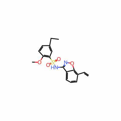 C=Cc1cccc2c(NS(=O)(=O)c3cc(CC)ccc3OC)noc12